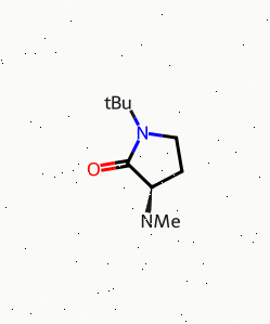 CN[C@@H]1CCN(C(C)(C)C)C1=O